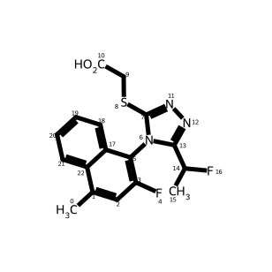 Cc1cc(F)c(-n2c(SCC(=O)O)nnc2C(C)F)c2ccccc12